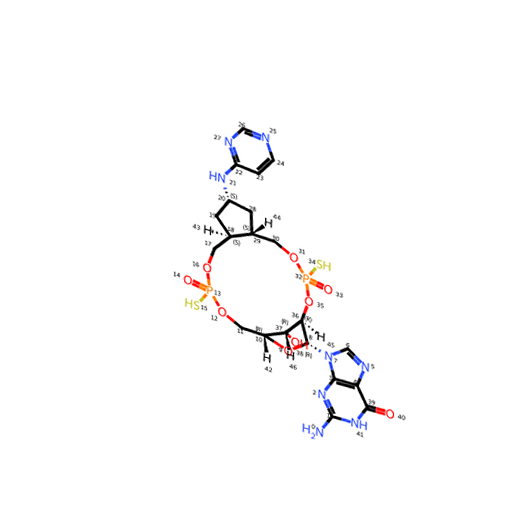 Nc1nc2c(ncn2[C@@H]2O[C@@H]3COP(=O)(S)OC[C@H]4C[C@H](Nc5ccncn5)C[C@@H]4COP(=O)(S)O[C@@H]2[C@@H]3O)c(=O)[nH]1